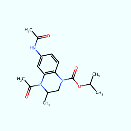 CC(=O)Nc1ccc2c(c1)N(C(C)=O)C(C)CN2C(=O)OC(C)C